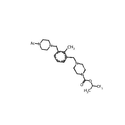 CC(=O)N1CCN(Cc2cccc(CN3CCN(C(=O)OC(C)C(F)(F)F)CC3)c2C)CC1